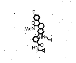 CNC(=O)C1=C(c2ccc(F)cc2)CCc2cc(NCCI)c(-c3cccc(C(=O)N[C@@H](C)C4CC4)c3)cc21